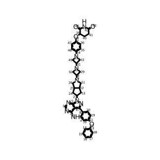 Nc1ncnc2c1c(-c1ccc(Oc3ccccc3)cc1)nn2C1CC2CN(C3CN(C4CN(c5ccc(OC6CCC(=O)NC6=O)cc5)C4)C3)CC2C1